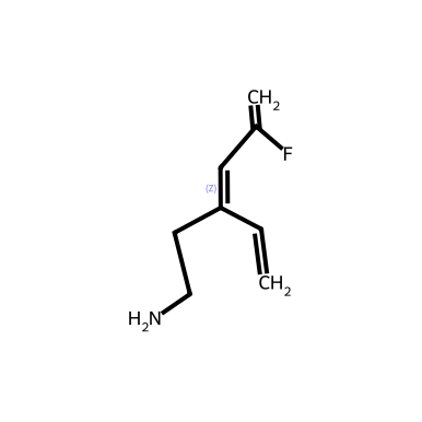 C=C/C(=C\C(=C)F)CCN